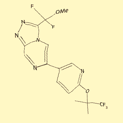 COC(F)(F)c1nnc2cnc(-c3ccc(OC(C)(C)C(F)(F)F)nc3)cn12